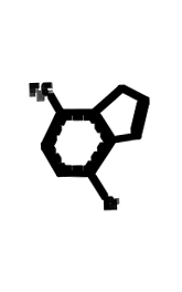 FC(F)(F)c1ccc(Br)c2c1CC=C2